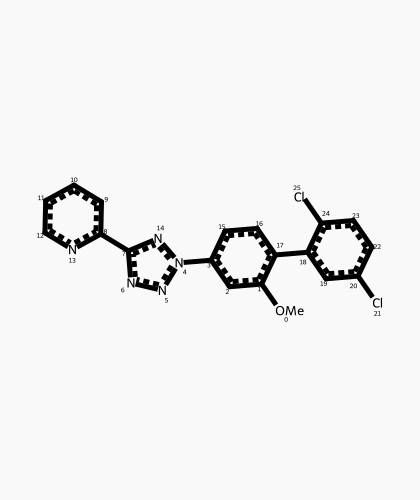 COc1cc(-n2nnc(-c3ccccn3)n2)ccc1-c1cc(Cl)ccc1Cl